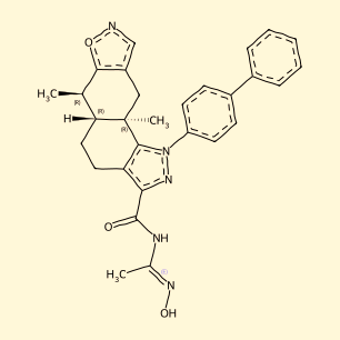 C/C(=N\O)NC(=O)c1nn(-c2ccc(-c3ccccc3)cc2)c2c1CC[C@@H]1[C@@H](C)c3oncc3C[C@@]21C